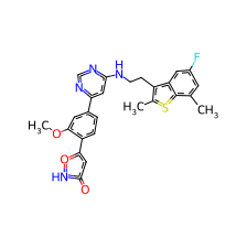 COc1cc(-c2cc(NCCc3c(C)sc4c(C)cc(F)cc34)ncn2)ccc1-c1cc(=O)[nH]o1